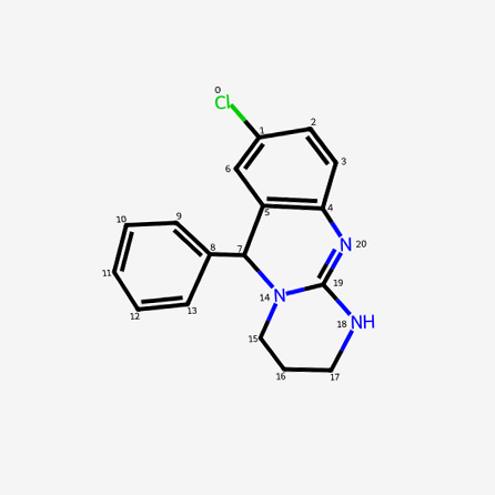 Clc1ccc2c(c1)C(c1ccccc1)N1CCCNC1=N2